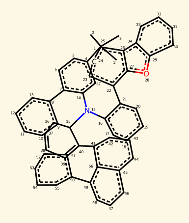 CC(C)(C)c1ccc(-c2ccccc2)c(N(c2ccccc2-c2cccc3c2oc2ccccc23)C2CC=CC=C2c2cccc3cccc(-c4ccccc4)c23)c1